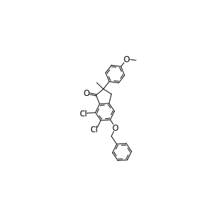 COc1ccc(C2(C)Cc3cc(OCc4ccccc4)c(Cl)c(Cl)c3C2=O)cc1